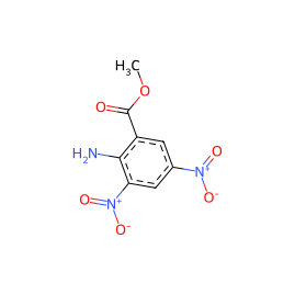 COC(=O)c1cc([N+](=O)[O-])cc([N+](=O)[O-])c1N